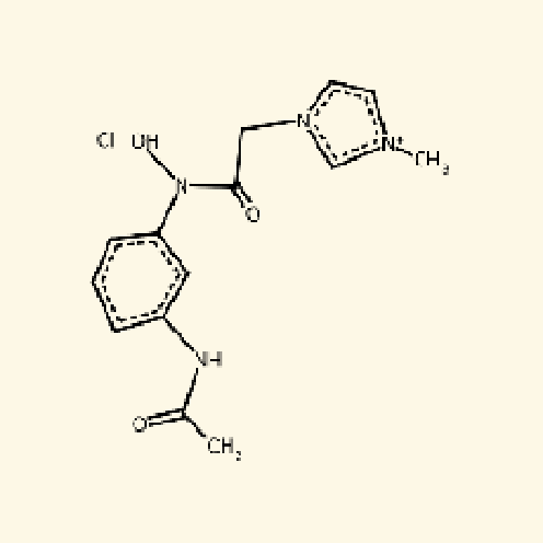 CC(=O)Nc1cccc(N(O)C(=O)Cn2cc[n+](C)c2)c1.[Cl-]